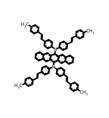 Cc1ccc(/C=C/c2ccc(N(c3ccc(/C=C/c4ccc(C)cc4)cc3)c3c4cc5ccccc5cc4c(N(c4ccc(/C=C/c5ccc(C)cc5)cc4)c4ccc(/C=C/c5ccc(C)cc5)cc4)c4cc5ccccc5cc34)cc2)cc1